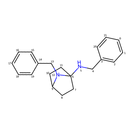 c1ccc(CNC23CCC(CC2)N3Cc2ccccc2)cc1